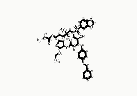 CCO[C@H]1OCC[C@H]1OC(=O)N[C@@H](Cc1ccc(OCc2ccccc2)cc1)[C@H](O)CN(CC(C)(C)CCCOC(=O)NC)S(=O)(=O)c1ccc2c(c1)OCO2